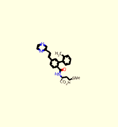 CSCC[C@H](NC(=O)c1ccc(C=Cc2cnccn2)cc1-c1ccccc1C)C(=O)O